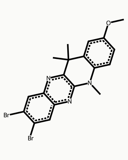 COc1ccc2c(c1)C(C)(C)c1nc3cc(Br)c(Br)cc3nc1N2C